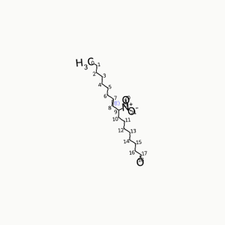 CCCCCCC/C=C/C(CCCCCCCC=O)[N+](=O)[O-]